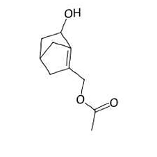 CC(=O)OCC1=C2CC(C1)CC2O